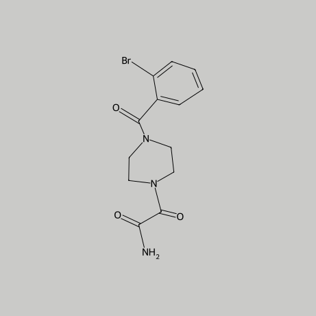 NC(=O)C(=O)N1CCN(C(=O)c2ccccc2Br)CC1